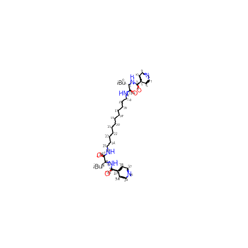 CCC(C)[C@H](NC(=O)c1ccncc1)C(=O)NCCCCCCCCCCCCNC(=O)[C@@H](NC(=O)c1ccncc1)C(C)CC